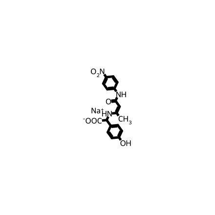 CC(=CC(=O)Nc1ccc([N+](=O)[O-])cc1)NC(C(=O)[O-])c1ccc(O)cc1.[Na+]